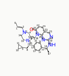 CC=CN1CCN([C@H](CC2CC2)c2ccc([C@H](C)Nc3ncc4ccc(=O)n(C(C)C)c4n3)cc2)CC1